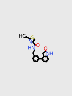 C#Cc1nc(C(=O)NCCc2cccc(-c3cccc4c3CC(=O)N4)c2)cs1